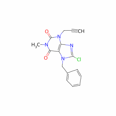 C#CCn1c(=O)n(C)c(=O)c2c1nc(Cl)n2Cc1ccccc1